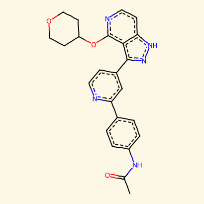 CC(=O)Nc1ccc(-c2cc(-c3n[nH]c4ccnc(OC5CCOCC5)c34)ccn2)cc1